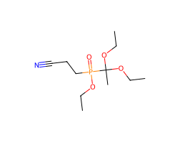 CCOC(C)(OCC)P(=O)(CCC#N)OCC